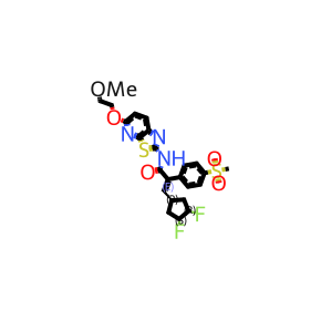 COCCOc1ccc2nc(NC(=O)/C(=C/[C@H]3C[C@@H](F)[C@@H](F)C3)c3ccc(S(C)(=O)=O)cc3)sc2n1